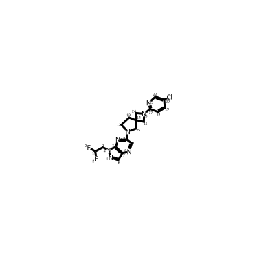 FC(F)Cn1ncc2ncc(N3CCC4(CN(c5ccc(Cl)cn5)C4)C3)nc21